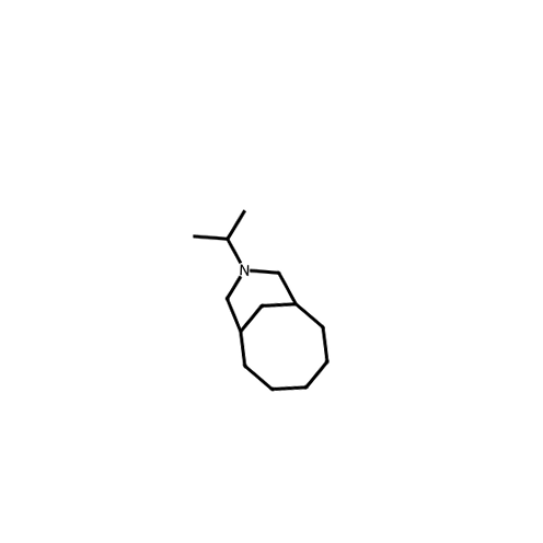 CC(C)N1CC2CCCCCC(C2)C1